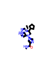 CC[N@@+]12C=NNC13NC=NC=C3N(n1cnc(C(=O)NC)c1)CC2C1CCCC1